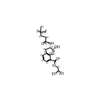 CCC(CC)COC(=O)c1cccc2c1OB(O)[C@@H](NC(=O)CCC(C)(F)F)C2